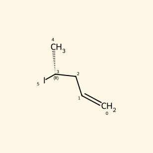 C=CC[C@@H](C)I